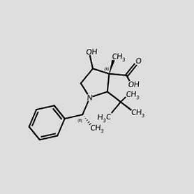 C[C@H](c1ccccc1)N1CC(O)[C@](C)(C(=O)O)C1C(C)(C)C